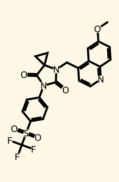 COc1ccc2nccc(CN3C(=O)N(c4ccc(S(=O)(=O)C(F)(F)F)cc4)C(=O)C34CC4)c2c1